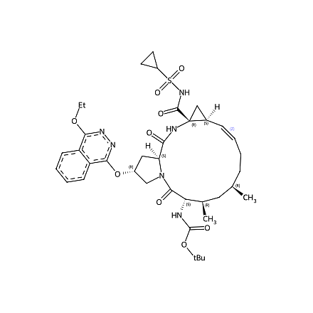 CCOc1nnc(O[C@@H]2C[C@H]3C(=O)N[C@]4(C(=O)NS(=O)(=O)C5CC5)C[C@H]4/C=C\CC[C@@H](C)C[C@@H](C)[C@H](NC(=O)OC(C)(C)C)C(=O)N3C2)c2ccccc12